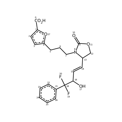 O=C(O)c1ccc(CCCN2C(=O)OCC2/C=C/C(O)C(F)(F)c2ccccc2)o1